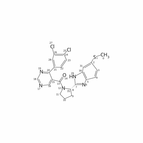 CSc1ccc2nc([C@@H]3CCCN3C(=O)c3cncnc3-c3ccc(Cl)c(Cl)c3)[nH]c2c1